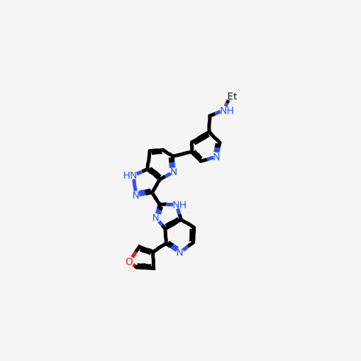 CCNCc1cncc(-c2ccc3[nH]nc(-c4nc5c(-c6ccoc6)nccc5[nH]4)c3n2)c1